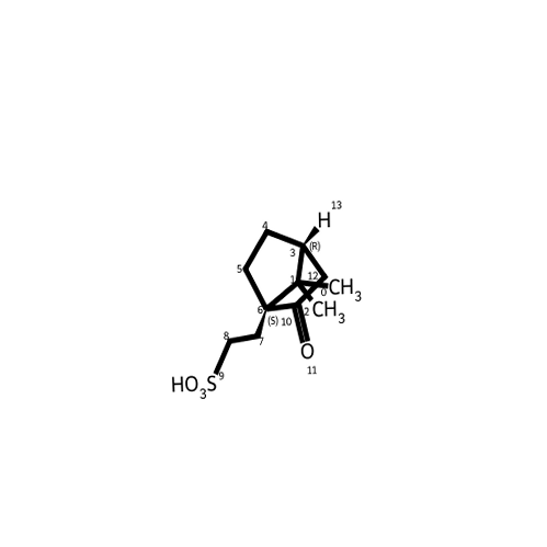 CC1(C)[C@@H]2CC[C@@]1(CCS(=O)(=O)O)C(=O)C2